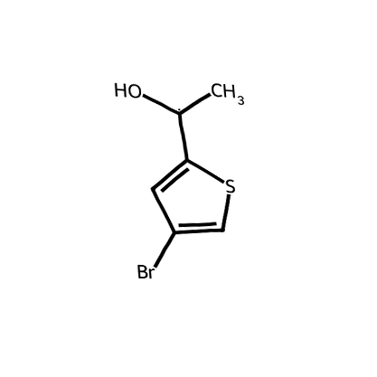 C[C](O)c1cc(Br)cs1